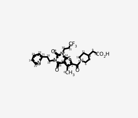 Cc1c(C(=O)N2CCC(CC(=O)O)CC2)sc2c1c(=O)n(CCc1ccccn1)c(=O)n2CCC(F)(F)F